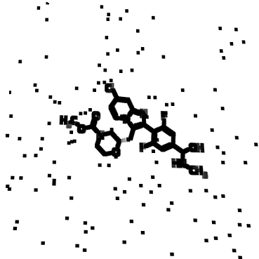 CNC(O)c1cc(F)c(-c2nc3cc(Cl)ccn3c2C[C@H]2CN(C(=O)OC)CCO2)c(F)c1